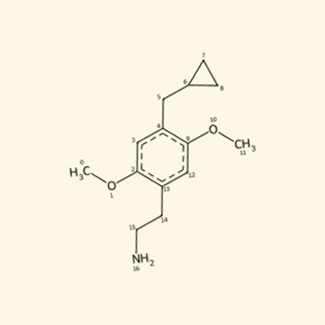 COc1cc(CC2CC2)c(OC)cc1CCN